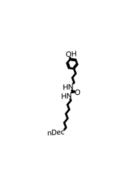 CCCCCCCCCCCCCCCCCNC(=O)NCCCc1ccc(O)cc1